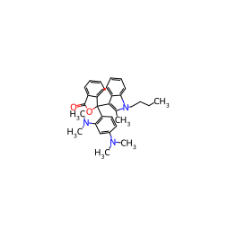 CCCCn1c(C)c(C2(c3ccc(N(C)C)cc3N(C)C)OC(=O)c3ccccc32)c2ccccc21